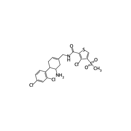 CS(=O)(=O)c1csc(C(=O)NCC2=CCC(c3ccc(Cl)cc3Cl)C(N)C2)c1Cl